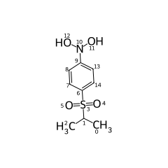 CC(C)S(=O)(=O)c1ccc(N(O)O)cc1